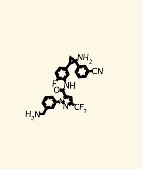 N#Cc1cccc(C2(N)CC2c2ccc(F)c(NC(=O)c3cc(C(F)(F)F)nn3-c3cccc(CN)c3)c2)c1